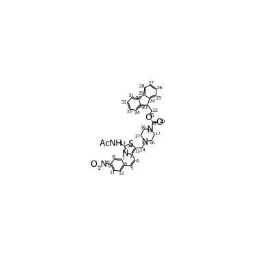 CC(=O)Nc1nc(/C=C\c2ccc([N+](=O)[O-])cc2)c(CN2CCN(C(=O)OCC3c4ccccc4-c4ccccc43)CC2)s1